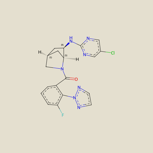 O=C(c1cccc(F)c1-n1nccn1)N1C[C@H]2C[C@@H](Nc3ncc(Cl)cn3)[C@@H]1C2